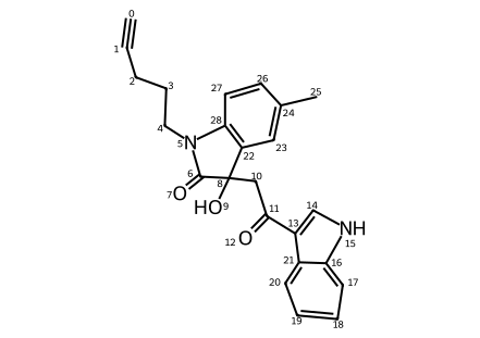 C#CCCCN1C(=O)C(O)(CC(=O)c2c[nH]c3ccccc23)c2cc(C)ccc21